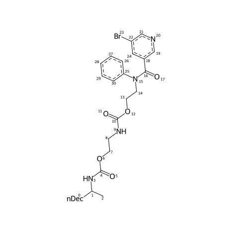 CCCCCCCCCCC(C)NC(=O)OCCNC(=O)OCCN(C(=O)c1cncc(Br)c1)c1ccccc1